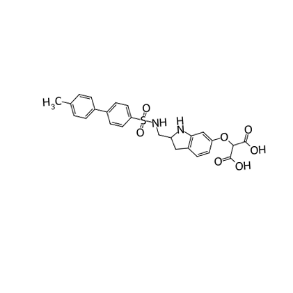 Cc1ccc(-c2ccc(S(=O)(=O)NCC3Cc4ccc(OC(C(=O)O)C(=O)O)cc4N3)cc2)cc1